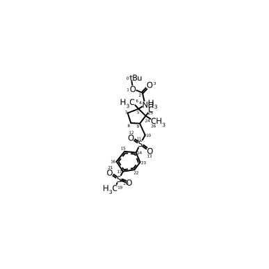 CC(C)(C)OC(=O)NC1(C)CCC(CS(=O)(=O)c2ccc(S(C)(=O)=O)cc2)C1(C)C